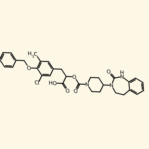 Cc1cc(CC(OC(=O)N2CCC(N3CCc4ccccc4NC3=O)CC2)C(=O)O)cc(Cl)c1OCc1ccccc1